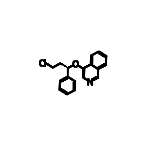 ClCC[C@H](Oc1cncc2ccccc12)c1ccccc1